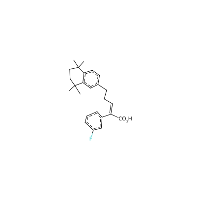 CC1(C)CCC(C)(C)c2cc(CC/C=C(/C(=O)O)c3cccc(F)c3)ccc21